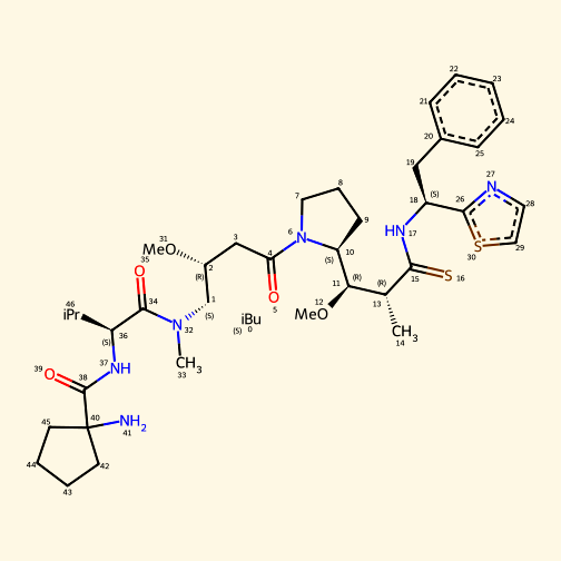 CC[C@H](C)[C@@H]([C@@H](CC(=O)N1CCC[C@H]1[C@H](OC)[C@@H](C)C(=S)N[C@@H](Cc1ccccc1)c1nccs1)OC)N(C)C(=O)[C@@H](NC(=O)C1(N)CCCC1)C(C)C